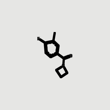 Cc1cc(C(=O)N2CCC2)ccc1F